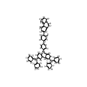 Cc1cc(-c2ccc(-n3c4ccc(N(c5ccccc5)c5ccccc5)cc4c4cc(N(c5ccccc5)c5ccccc5)ccc43)cc2)ccc1-c1cnc2c(ccc3cccnc32)c1